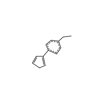 CCc1ccc(C2=[C]CC=C2)cc1